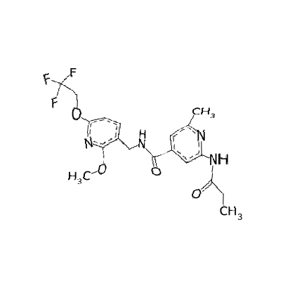 CCC(=O)Nc1cc(C(=O)NCc2ccc(OCC(F)(F)F)nc2OC)cc(C)n1